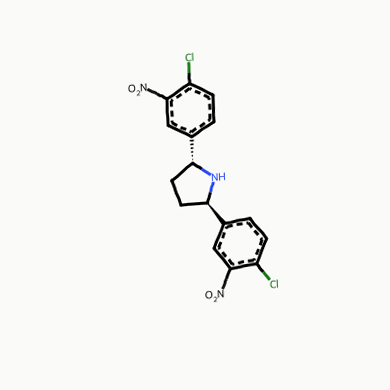 O=[N+]([O-])c1cc([C@H]2CC[C@H](c3ccc(Cl)c([N+](=O)[O-])c3)N2)ccc1Cl